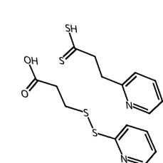 O=C(O)CCSSc1ccccn1.S=C(S)CCc1ccccn1